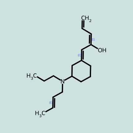 C=C/C=C(O)\C=C1/CCCC(N(C/C=C/C)CCC)C1